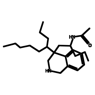 CCCCCC(CCC)C1(CC(CCC)NC(C)=O)CNCc2ccccc21